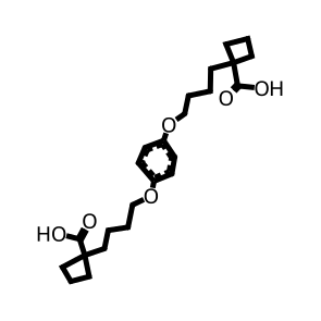 O=C(O)C1(CCCCOc2ccc(OCCCCC3(C(=O)O)CCC3)cc2)CCC1